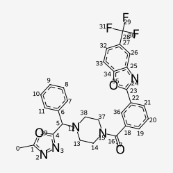 Cc1nnc(C(c2ccccc2)N2CCN(C(=O)c3cccc(-c4nc5cc(C(F)(F)F)ccc5o4)c3)CC2)o1